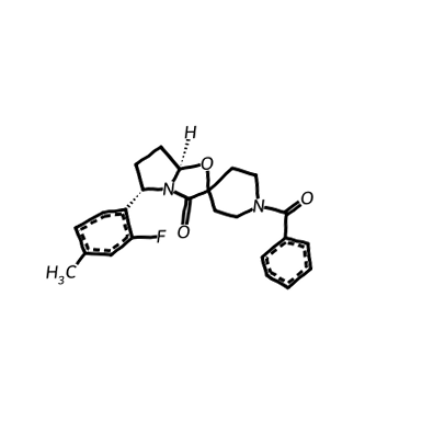 Cc1ccc([C@@H]2CC[C@H]3OC4(CCN(C(=O)c5ccccc5)CC4)C(=O)N32)c(F)c1